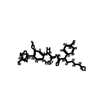 COc1cc(NC(S)=NC(=O)C(CCCCCl)c2ccc(F)cc2)ccc1-c1nc(C)no1